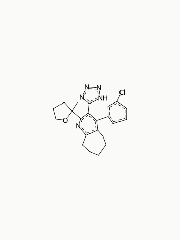 CC1(c2nc3c(c(-c4cccc(Cl)c4)c2-c2nnn[nH]2)CCCCC3)CCCO1